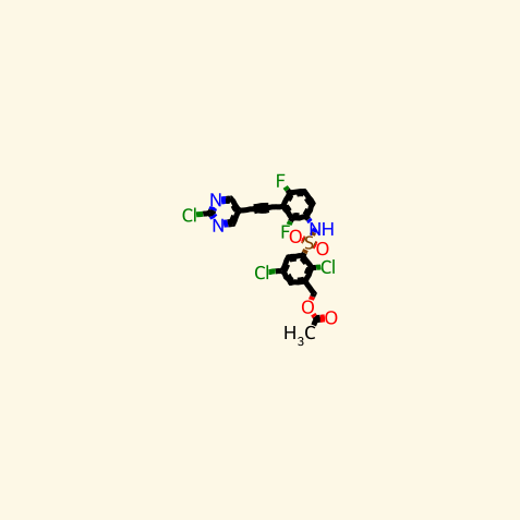 CC(=O)OCc1cc(Cl)cc(S(=O)(=O)Nc2ccc(F)c(C#Cc3cnc(Cl)nc3)c2F)c1Cl